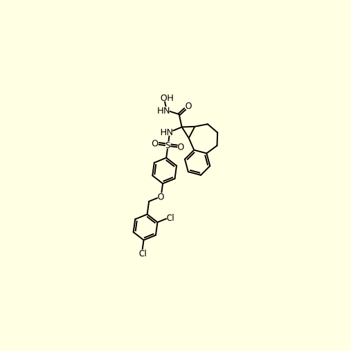 O=C(NO)C1(NS(=O)(=O)c2ccc(OCc3ccc(Cl)cc3Cl)cc2)C2CCCc3ccccc3C21